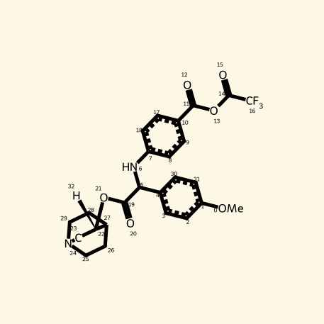 COc1ccc(C(Nc2ccc(C(=O)OC(=O)C(F)(F)F)cc2)C(=O)O[C@H]2CN3CCC2CC3)cc1